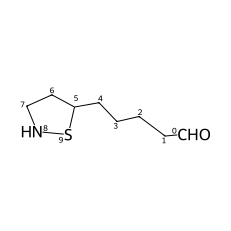 O=CCCCCC1CCNS1